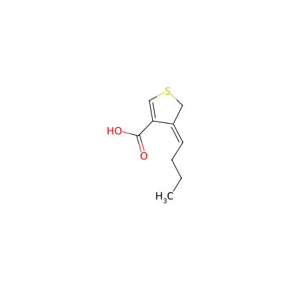 CCCC=C1CSC=C1C(=O)O